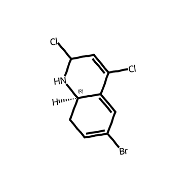 ClC1=CC(Cl)N[C@@H]2CC=C(Br)C=C12